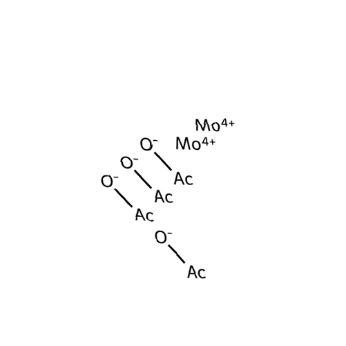 CC(=O)[O-].CC(=O)[O-].CC(=O)[O-].CC(=O)[O-].[Mo+4].[Mo+4]